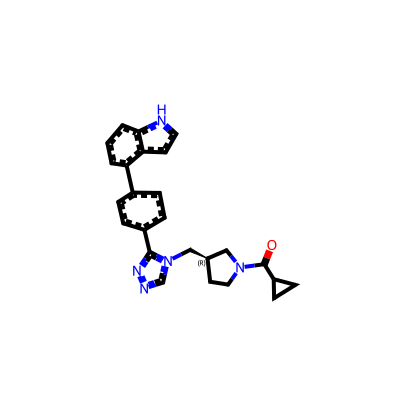 O=C(C1CC1)N1CC[C@@H](Cn2cnnc2-c2ccc(-c3cccc4[nH]ccc34)cc2)C1